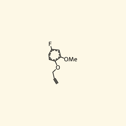 C#CCOc1ccc(F)cc1OC